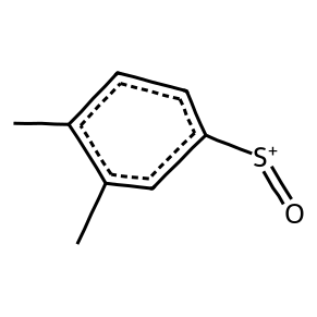 Cc1ccc([S+]=O)cc1C